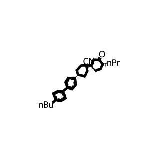 CCCCc1ccc(-c2ccc([C@H]3CC[C@@](C#N)([C@@H]4CC[C@@H](CCC)C(=O)C4)CC3)cc2)cc1